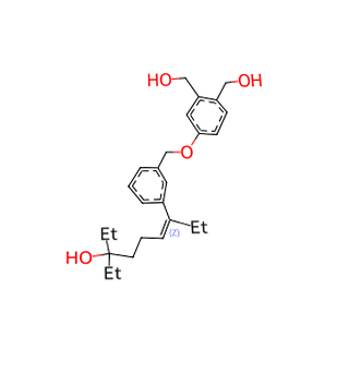 CC/C(=C/CCC(O)(CC)CC)c1cccc(COc2ccc(CO)c(CO)c2)c1